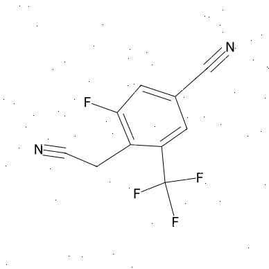 N#CCc1c(F)cc(C#N)cc1C(F)(F)F